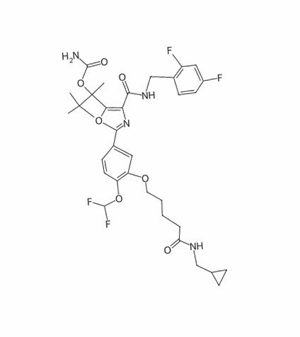 CC(C)(C)C(C)(OC(N)=O)c1oc(-c2ccc(OC(F)F)c(OCCCCC(=O)NCC3CC3)c2)nc1C(=O)NCc1ccc(F)cc1F